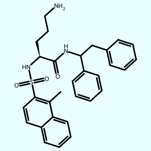 Cc1c(S(=O)(=O)N[C@@H](CCCN)C(=O)NC(Cc2ccccc2)c2ccccc2)ccc2ccccc12